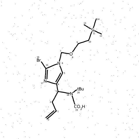 C=CCC(c1cn(COCC[Si](C)(C)C)c(Br)n1)N(C(=O)O)C(C)(C)C